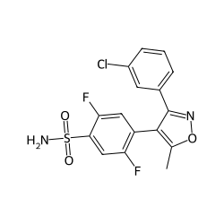 Cc1onc(-c2cccc(Cl)c2)c1-c1cc(F)c(S(N)(=O)=O)cc1F